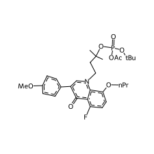 CCCOc1ccc(F)c2c(=O)c(-c3ccc(OC)cc3)cn(CCC(C)(C)OP(=O)(OC(C)=O)OC(C)(C)C)c12